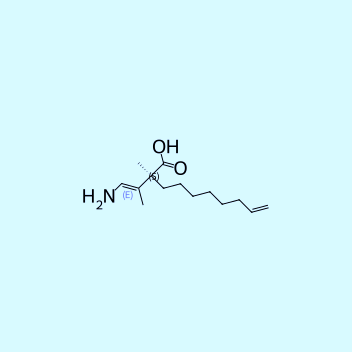 C=CCCCCCC[C@](C)(C(=O)O)/C(C)=C/N